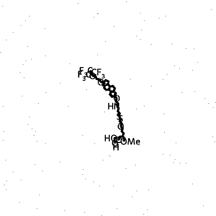 COCC(CCCOCCSSCCCNCCOc1ccc2c(c1)CCC1C2CCC2(C)C(OCCCOC(C(F)(F)F)(C(F)(F)F)C(F)(F)F)CCC12)CO[PH](=O)O